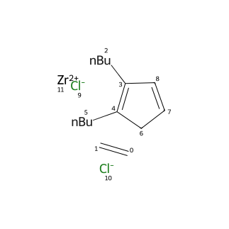 C=C.CCCCC1=C(CCCC)CC=C1.[Cl-].[Cl-].[Zr+2]